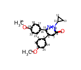 COc1ccc(-c2cc(=O)n(C3CC3)nc2-c2ccc(OC)cc2)cc1